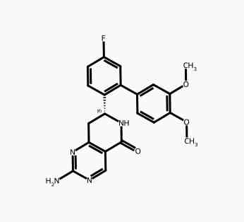 COc1ccc(-c2cc(F)ccc2[C@H]2Cc3nc(N)ncc3C(=O)N2)cc1OC